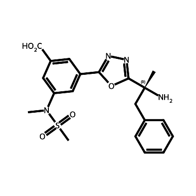 CN(c1cc(C(=O)O)cc(-c2nnc([C@](C)(N)Cc3ccccc3)o2)c1)S(C)(=O)=O